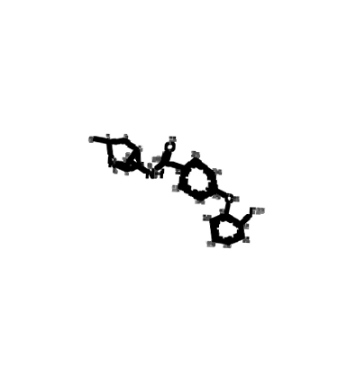 CC1CC2CCN1CC2NC(=O)c1ccc(Oc2ccccc2F)cc1